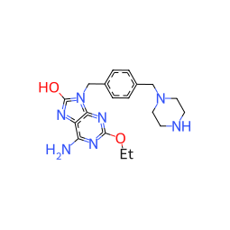 CCOc1nc(N)c2nc(O)n(Cc3ccc(CN4CCNCC4)cc3)c2n1